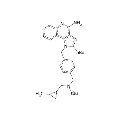 CCCCc1nc2c(N)nc3ccccc3c2n1Cc1ccc(CN(CC2CC2C)C(C)(C)C)cc1